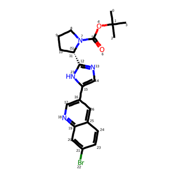 CC(C)(C)OC(=O)N1CCC[C@H]1c1ncc(-c2cnc3cc(Br)ccc3c2)[nH]1